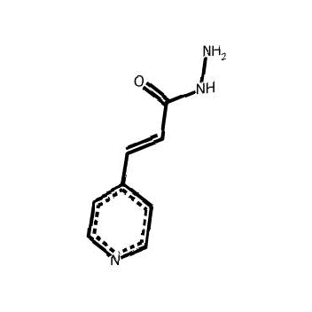 NNC(=O)C=Cc1ccncc1